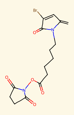 C=C1C=C(Br)C(=O)N1CCCCCC(=O)ON1C(=O)CCC1=O